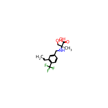 C=Cc1cc(CN[C@@](C)(CO)C(=O)O)ccc1C(F)(F)F